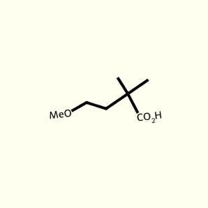 COCCC(C)(C)C(=O)O